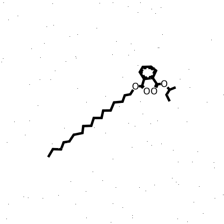 CCCCCCCCCCCCCCCCCOC(=O)c1ccccc1C(=O)OC(C)CC